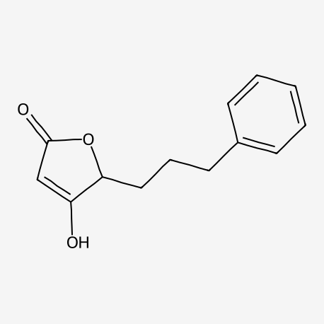 O=C1C=C(O)C(CCCc2ccccc2)O1